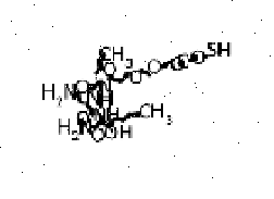 CCCCC[C@@H](O)[C@H](NC(=O)[C@H](CCN)NC(=O)[C@H](CCCC)NC(=O)CCOCCOCCOCCOCS)C(N)=O